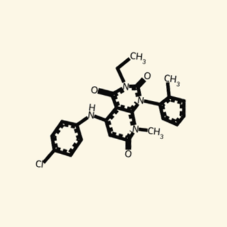 CCn1c(=O)c2c(Nc3ccc(Cl)cc3)cc(=O)n(C)c2n(-c2ccccc2C)c1=O